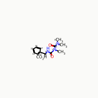 CN(C)C(=O)N(C)C(=O)NC(C(=O)O)c1ccccc1